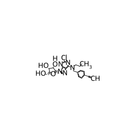 C#Cc1ccc(CN(CCC)c2nc(Cl)nc3c2ncn3[C@@H]2O[C@H](CO)C(O)C2O)cc1